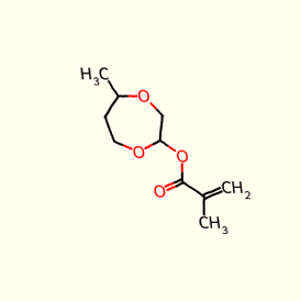 C=C(C)C(=O)OC1COC(C)CCO1